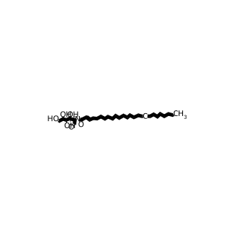 CCCCCCCCCCCCCCCCCCCCCCCC=CC(=O)N[C@@H](C=O)[C@@H](O)[C@H](O)[C@H](O)CO